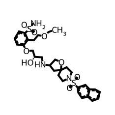 CCOCCc1c(OC[C@@H](O)CNC2COC3(CCN(S(=O)(=O)c4ccc5ccccc5c4)CC3)C2)cccc1S(N)(=O)=O